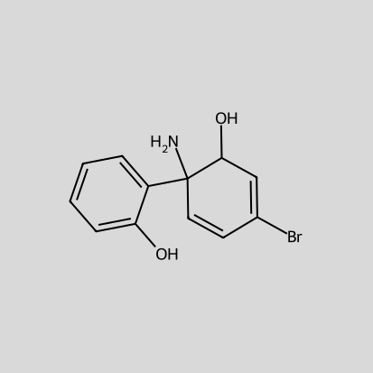 NC1(c2ccccc2O)C=CC(Br)=CC1O